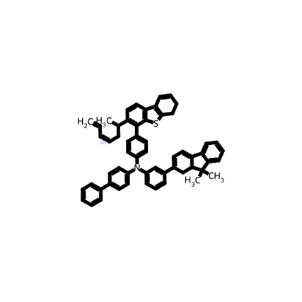 C=C/C=C\CC(C)c1ccc2c3c(sc2c1-c1ccc(N(c2ccc(-c4ccccc4)cc2)c2cccc(C4=CC=C5c6ccccc6C(C)(C)C5C4)c2)cc1)CCC=C3